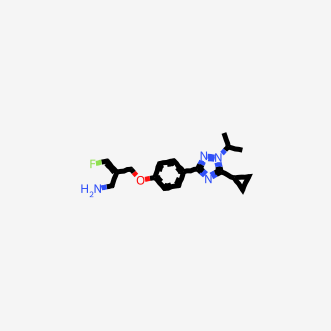 CC(C)n1nc(-c2ccc(OC/C(=C/F)CN)cc2)nc1C1CC1